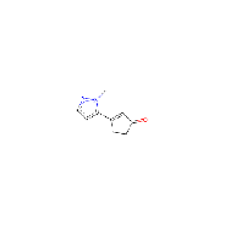 Cn1nccc1C1=CC(=O)CC1